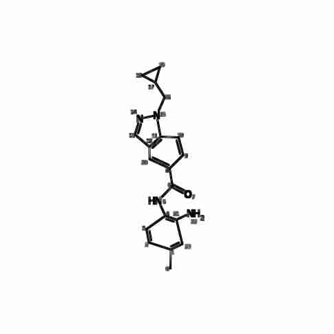 Cc1ccc(NC(=O)c2ccc3c(cnn3CC3CC3)c2)c(N)c1